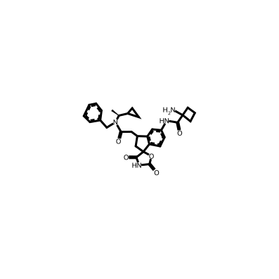 C[C@@H](C1CC1)N(Cc1ccccc1)C(=O)CC1CC2(OC(=O)NC2=O)c2ccc(NC(=O)C3(N)CCC3)cc21